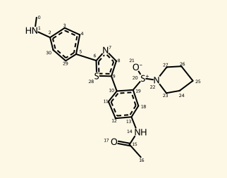 CNc1ccc(-c2ncc(-c3ccc(NC(C)=O)cc3[S+]([O-])N3CCCCC3)s2)cc1